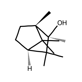 CC1(C)[C@H]2CC[C@@](C)(C2(C)C)[C@@]1(C)O